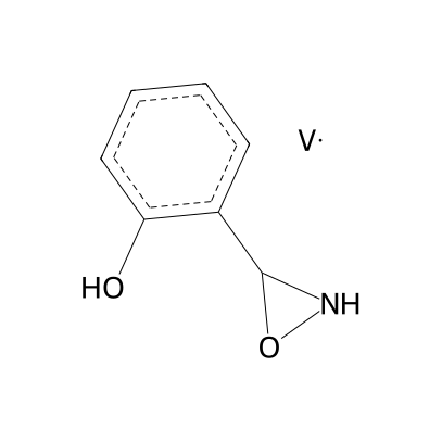 Oc1ccccc1C1NO1.[V]